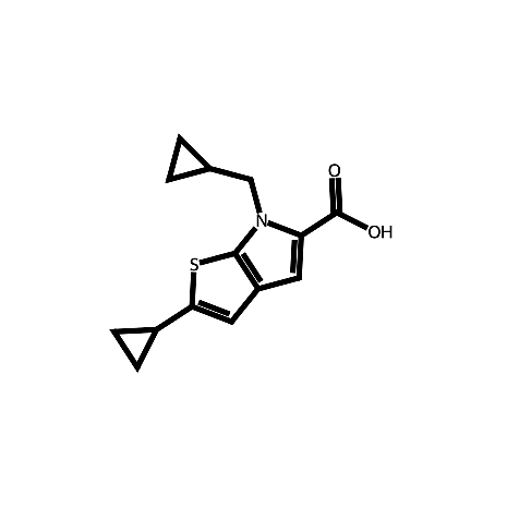 O=C(O)c1cc2cc(C3CC3)sc2n1CC1CC1